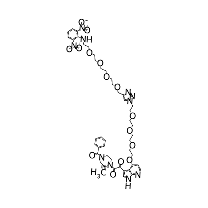 C[C@@H]1CN(C(=O)c2ccccc2)CCN1C(=O)C(=O)c1c[nH]c2nccc(OCCOCCOCCOCCn3cc(COCCOCCOCCOCCNc4c([N+](=O)[O-])cccc4[N+](=O)[O-])nn3)c12